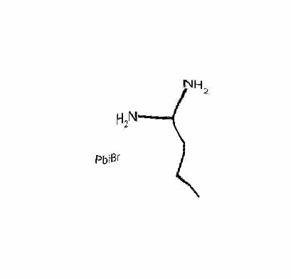 CCCC(N)N.[Br].[Pb]